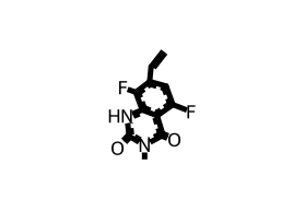 C=Cc1cc(F)c2c(=O)n(C)c(=O)[nH]c2c1F